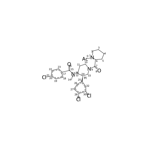 CC(=O)N1CCCCC1C(=O)N1CC[C@@H](N(C)C(=O)c2ccc(Cl)cc2)[C@H](c2ccc(Cl)c(Cl)c2)C1